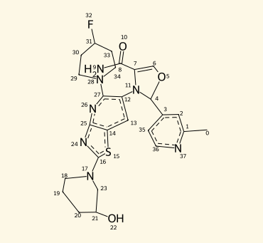 Cc1cc(C2OC=C(C(N)=O)N2c2cc3sc(N4CCCC(O)C4)nc3nc2N2CCC(F)CC2)ccn1